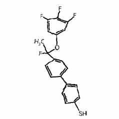 CC(F)(Oc1cc(F)c(F)c(F)c1)c1ccc(-c2ccc(S)cc2)cc1